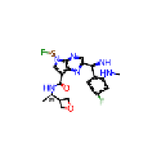 CNc1cc(F)ccc1C(=N)c1cnc2c(n1)c(C(=O)N[C@H](C)C1COC1)cn2SF